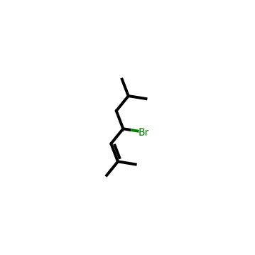 CC(C)=C[C](Br)CC(C)C